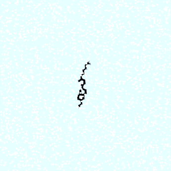 C=CCc1ccc2cc(-c3ccc(CCCCCC(C)F)cn3)ccc2c1